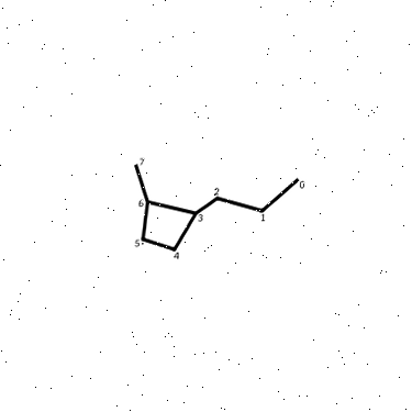 CCCC1C[CH]C1C